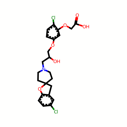 O=C(O)COc1cc(OCC(O)CN2CCC3(CC2)Cc2cc(Cl)ccc2O3)ccc1Cl